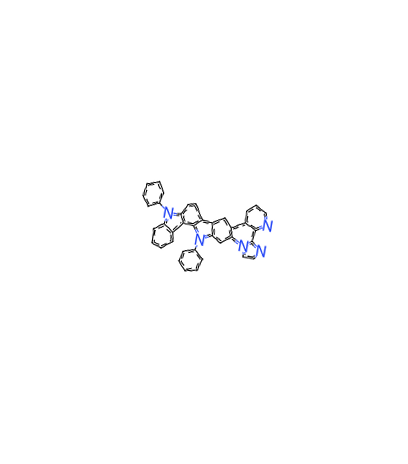 c1ccc(-n2c3ccccc3c3c2ccc2c4cc5c6cccnc6c6nccn6c5cc4n(-c4ccccc4)c23)cc1